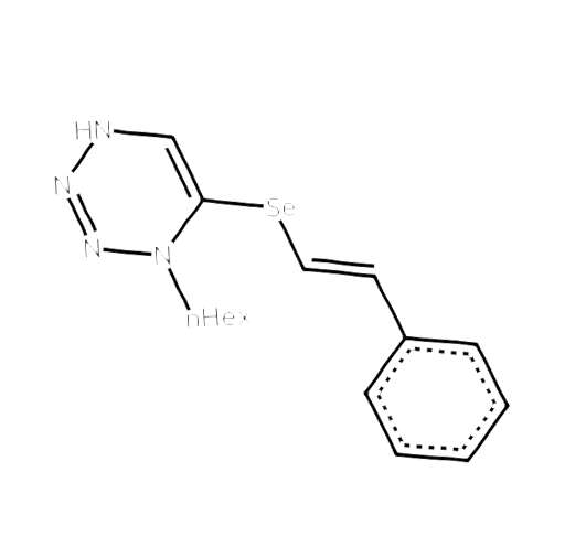 CCCCCCN1N=NNC=C1[Se]C=Cc1ccccc1